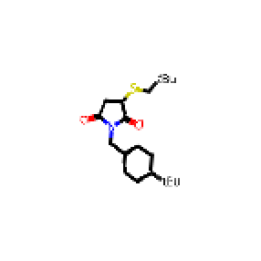 CC(C)(C)CSC1CC(=O)N(CC2CCC(C(C)(C)C)CC2)C1=O